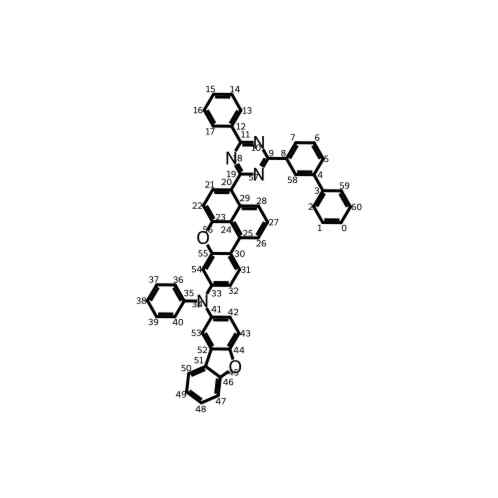 c1ccc(-c2cccc(-c3nc(-c4ccccc4)nc(-c4ccc5c6c(cccc46)-c4ccc(N(c6ccccc6)c6ccc7oc8ccccc8c7c6)cc4O5)n3)c2)cc1